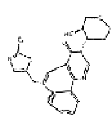 O=c1c2cc(Cc3cnc(Cl)s3)c3ccccc3c2ncn1[C@H]1CCOC[C@@H]1O